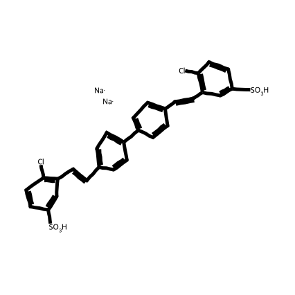 O=S(=O)(O)c1ccc(Cl)c(C=Cc2ccc(-c3ccc(C=Cc4cc(S(=O)(=O)O)ccc4Cl)cc3)cc2)c1.[Na].[Na]